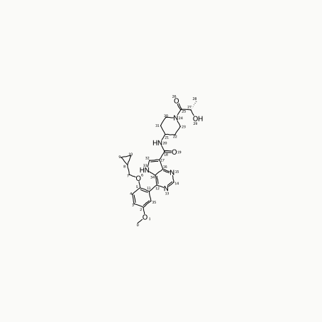 COc1ccc(OCC2CC2)c(-c2ncnc3c(C(=O)NC4CCN(C(=O)[C@H](C)O)CC4)c[nH]c23)c1